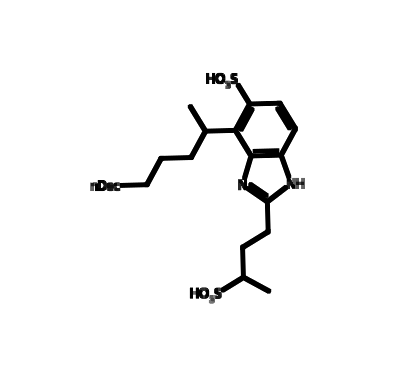 CCCCCCCCCCCCCC(C)c1c(S(=O)(=O)O)ccc2[nH]c(CCC(C)S(=O)(=O)O)nc12